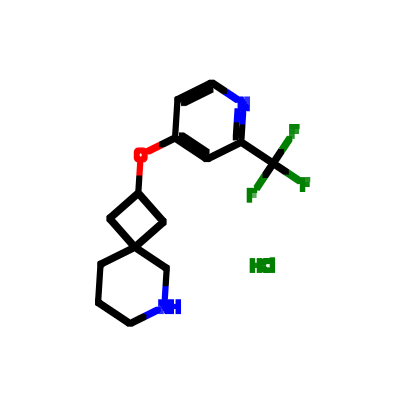 Cl.FC(F)(F)c1cc(OC2CC3(CCCNC3)C2)ccn1